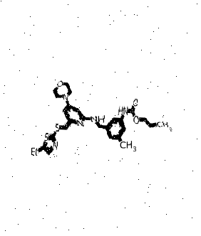 C=CCOC(=O)Nc1cc(C)cc(CNc2cc(N3CCOCC3)cc(CSc3ncc(CC)s3)n2)c1